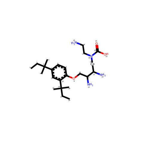 CCC(C)(C)c1ccc(OCC(N)[CH](N)[Co][N](CCN)C(=O)O)c(C(C)(C)CC)c1